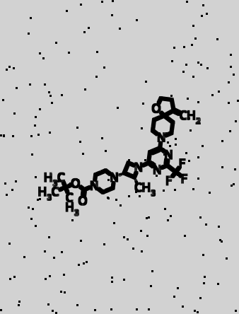 C=C1CCOC12CCN(c1cc(N3C[C@@H](N4CCN(C(=O)OC(C)(C)C)CC4)[C@H]3C)nc(C(F)(F)F)n1)CC2